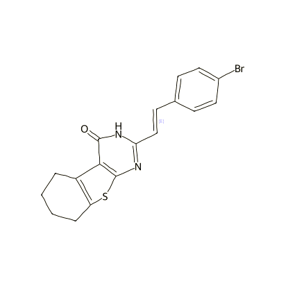 O=c1[nH]c(/C=C/c2ccc(Br)cc2)nc2sc3c(c12)CCCC3